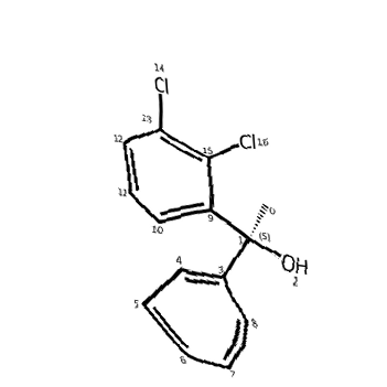 C[C@](O)(c1ccccc1)c1cccc(Cl)c1Cl